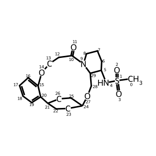 CS(=O)(=O)NC1CCCN2C(=O)CCOc3ccccc3C3CCC(CC3)OCC12